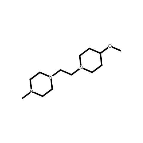 COC1CCN(CCN2CCN(C)CC2)CC1